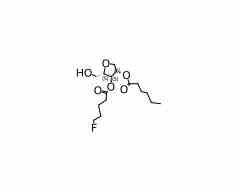 CCCCCC(=O)O[C@H]1CO[C@@H](CO)[C@@H]1OC(=O)CCCCF